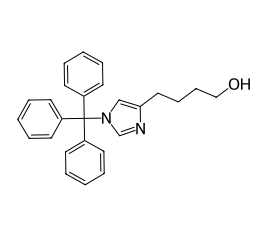 OCCCCc1cn(C(c2ccccc2)(c2ccccc2)c2ccccc2)cn1